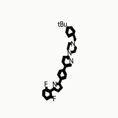 CC(C)(C)c1ccc(CN2CCN(c3ccc(-c4ccc(C5CCC(c6c(F)cccc6F)=N5)cc4)cn3)CC2)cc1